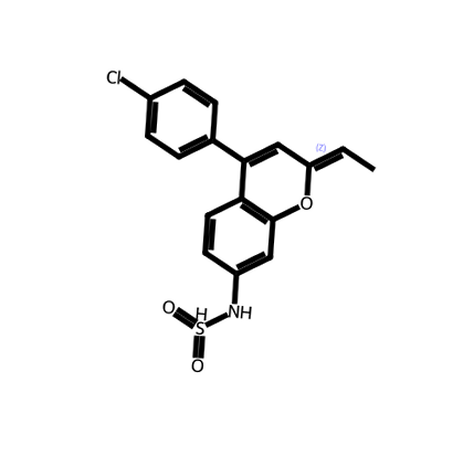 C/C=C1/C=C(c2ccc(Cl)cc2)c2ccc(N[SH](=O)=O)cc2O1